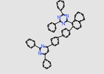 c1ccc(-c2cc(-c3ccc(-c4ccc(-c5ccc6ccccc6c5-c5nc(-c6ccccc6)nc(-c6ccccc6)n5)cc4)cc3)nc(-c3ccccc3)n2)cc1